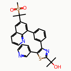 CC(C)(O)c1nc(-c2cccc(-c3cc(C(C)(C)S(C)(=O)=O)cc4cccnc34)c2)c(-c2cccnc2)s1